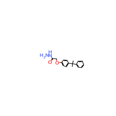 CC(C)(c1ccccc1)c1ccc(OCC(=O)NN)cc1